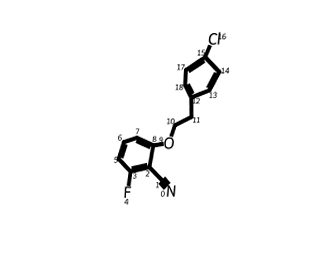 N#Cc1c(F)cccc1OCCc1ccc(Cl)cc1